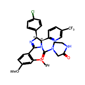 COc1ccc(C2=N[C@@H](c3ccc(Cl)cc3)[C@@H](c3ccc(C(F)(F)F)cn3)N2C(=O)N2CCNC(=O)C2)c(OC(C)C)c1